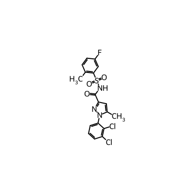 Cc1ccc(F)cc1S(=O)(=O)NC(=O)c1cc(C)n(-c2cccc(Cl)c2Cl)n1